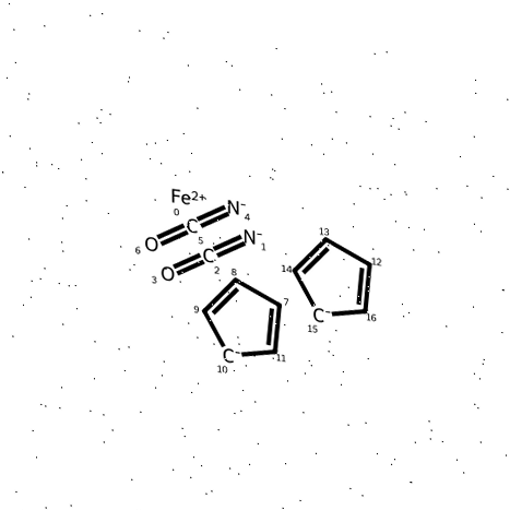 [Fe+2].[N-]=C=O.[N-]=C=O.c1cc[cH-]c1.c1cc[cH-]c1